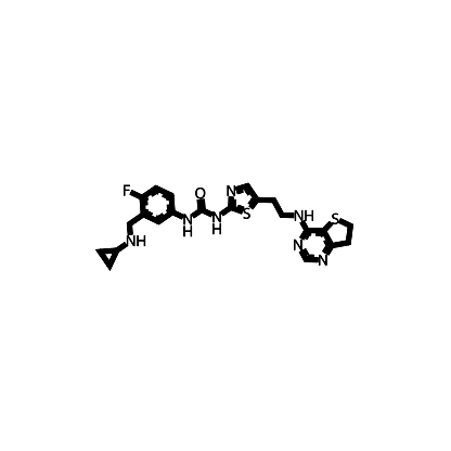 O=C(Nc1ccc(F)c(CNC2CC2)c1)Nc1ncc(CCNc2ncnc3c2SCC3)s1